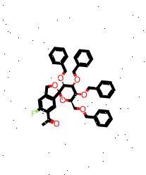 CC(=O)c1cc2c(cc1F)CO[C@]21O[C@H](COCc2ccccc2)[C@H](OCc2ccccc2)[C@H](OCc2ccccc2)[C@H]1OCc1ccccc1